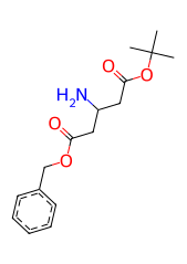 CC(C)(C)OC(=O)CC(N)CC(=O)OCc1ccccc1